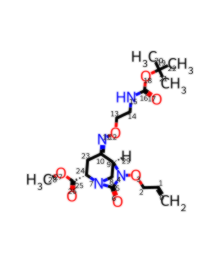 C=CCON1C(=O)N2C[C@H]1/C(=N\OCCNC(=O)OC(C)(C)C)C[C@H]2C(=O)OC